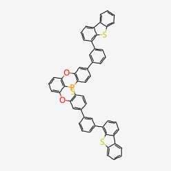 S=P12c3ccc(-c4cccc(-c5cccc6c5sc5ccccc56)c4)cc3Oc3cccc(c31)Oc1cc(-c3cccc(-c4cccc5c4sc4ccccc45)c3)ccc12